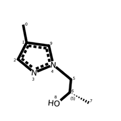 Cc1cnn(C[C@H](C)O)c1